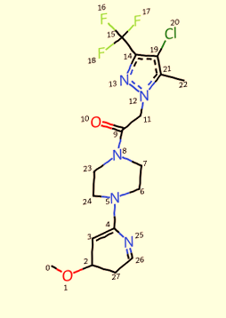 COC1C=C(N2CCN(C(=O)Cn3nc(C(F)(F)F)c(Cl)c3C)CC2)N=CC1